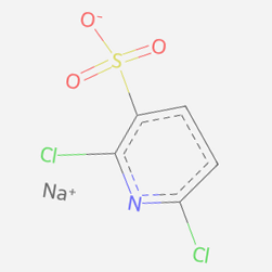 O=S(=O)([O-])c1ccc(Cl)nc1Cl.[Na+]